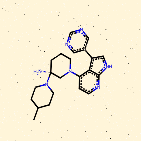 CC1CCN([C@@]2(N)CCCN(c3ccnc4[nH]cc(-c5cncnc5)c34)C2)CC1